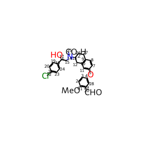 COc1ccc(Oc2ccc3c(c2)C[C@@H](N(C[C@@H](O)c2ccc(Cl)cc2)C(=O)O)CC3)cc1C=O